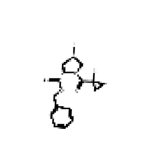 O=C(OCc1ccccc1)[C@@H]1C[C@@H](F)CN1C(=O)C1(Cl)CC1